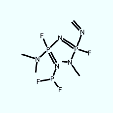 C=NP(F)(=NP(F)(=NP(F)F)N(C)C)N(C)C